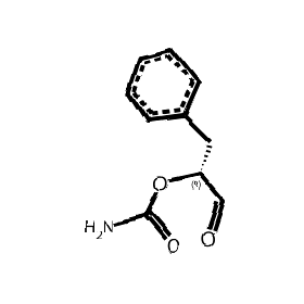 NC(=O)O[C@@H](C=O)Cc1ccccc1